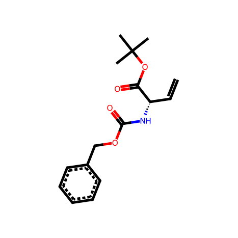 C=C[C@H](NC(=O)OCc1ccccc1)C(=O)OC(C)(C)C